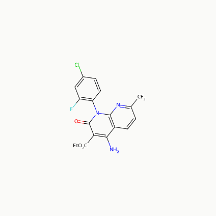 CCOC(=O)c1c(N)c2ccc(C(F)(F)F)nc2n(-c2ccc(Cl)cc2F)c1=O